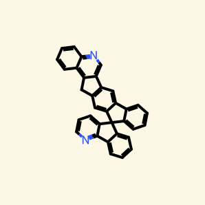 c1ccc2c(c1)-c1cc3c(cc1C21c2ccccc2-c2ncccc21)Cc1c-3cnc2ccccc12